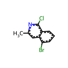 Cc1cc2c(Br)cccc2c(Cl)n1